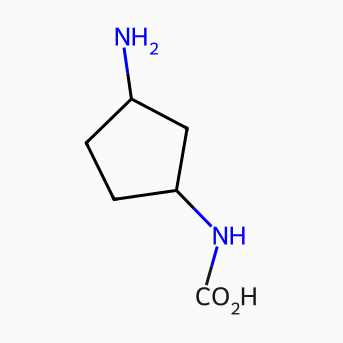 NC1CCC(NC(=O)O)C1